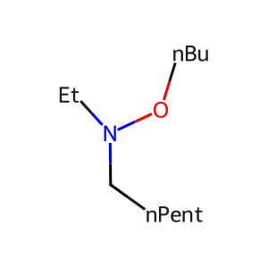 CCCCCCN(CC)OCCCC